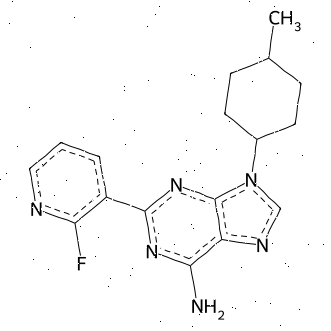 CC1CCC(n2cnc3c(N)nc(-c4cccnc4F)nc32)CC1